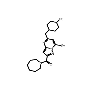 CCC1CCC(Cc2cc(C(C)C)n3nc(C(=O)N4CCCCCC4)cc3n2)CC1